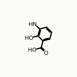 [NH]c1cccc(C(=O)O)c1O